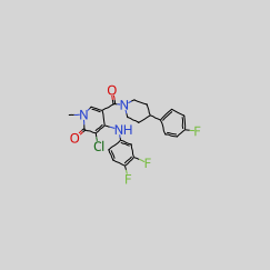 Cn1cc(C(=O)N2CCC(c3ccc(F)cc3)CC2)c(Nc2ccc(F)c(F)c2)c(Cl)c1=O